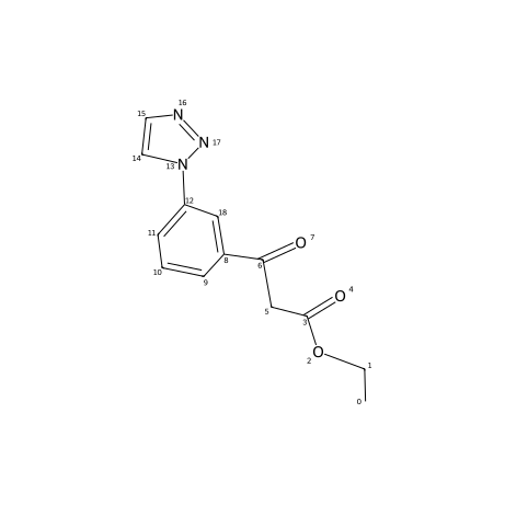 CCOC(=O)CC(=O)c1cccc(-n2ccnn2)c1